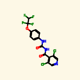 O=C(NC(=O)c1c(Cl)cncc1Cl)Nc1ccc(OC(F)(F)C(F)F)cc1